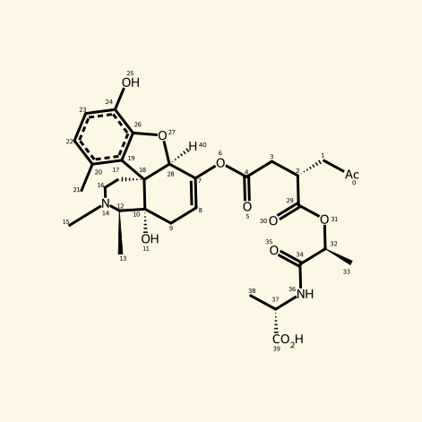 CC(=O)C[C@@H](CC(=O)OC1=CC[C@@]2(O)[C@@H](C)N(C)CC[C@@]23c2c(C)ccc(O)c2O[C@@H]13)C(=O)O[C@@H](C)C(=O)N[C@@H](C)C(=O)O